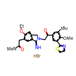 Br.CCOc1cc2c(cc1CC(=O)NC)C(=N)N(CC(=O)c1cc(-c3nccs3)c(OC)c(C(C)(C)C)c1)C2